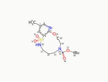 Cc1cnc2c(c1)S(=O)(=O)NCCCN(C(=O)OC(C)(C)C)CCO2